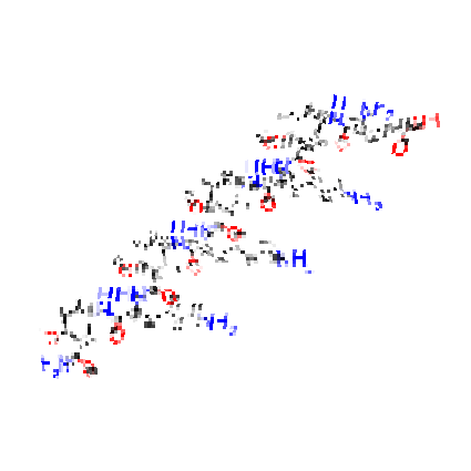 COc1ccc(NC(=O)[C@H](CCCCN)NC(=O)c2cc(NC(=O)C(CCCCN)NC(=O)c3cc(NC(=O)[C@H](CCCCN)NC(=O)c4cc(NC(=O)[C@@H](N)CCC(=O)O)ccc4OC)ccc3OC)ccc2OC)cc1C(N)=O